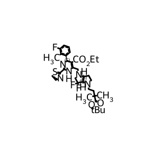 CCOC(=O)C1=C(CN2CC(F)(F)[C@H]3[C@@H]2CCN3CCC(C)(C)C(=O)OC(C)(C)C)NC(c2nccs2)=N[C@H]1c1cccc(F)c1C